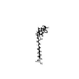 C=C(C)C(=O)Nc1ccc([PH](C)(C)CCCCCCCCCCCCP(C)C)cc1